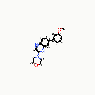 COc1cccc(-c2ccc3ncc(N4CCOCC4)nc3c2)c1